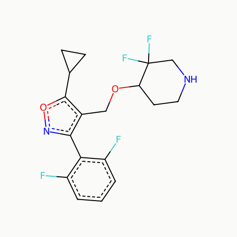 Fc1cccc(F)c1-c1noc(C2CC2)c1COC1CCNCC1(F)F